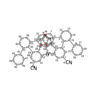 N#Cc1cc(-c2c(-c3ccccc3)cccc2-c2ccccc2)c2c3cccc4c5c(-c6c(-c7ccccc7)cccc6-c6ccccc6)cc(C#N)cc5n(c2c1)c34